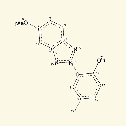 COc1ccc2nn(-c3cc(C)ccc3O)nc2c1